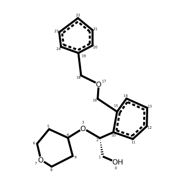 OC[C@H](OC1CCOCC1)c1ccccc1COCc1ccccc1